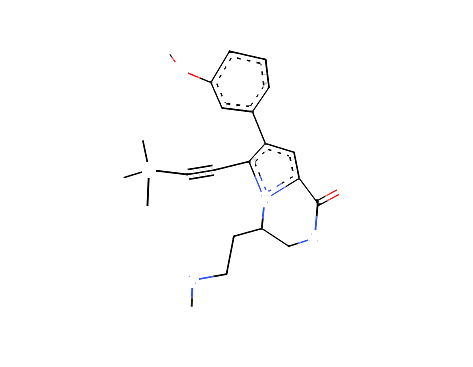 C[Si](C)(C)C#Cc1c(-c2cccc(OC(F)(F)F)c2)cc2n1C(CCNC(=O)O)CNC2=O